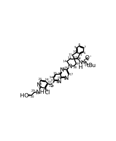 CC(C)(C)[S@+]([O-])N[C@@H]1c2ccccc2CC12CCN(c1cnc3nc(Sc4ccnc(NCCO)c4Cl)ccc3n1)CC2